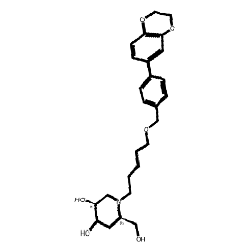 OC[C@H]1CC(O)[C@@H](O)CN1CCCCCOCc1ccc(-c2ccc3c(c2)OCCO3)cc1